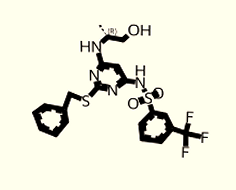 C[C@H](CO)Nc1cc(NS(=O)(=O)c2cccc(C(F)(F)F)c2)nc(SCc2ccccc2)n1